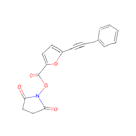 O=C(ON1C(=O)CCC1=O)c1ccc(C#Cc2ccccc2)o1